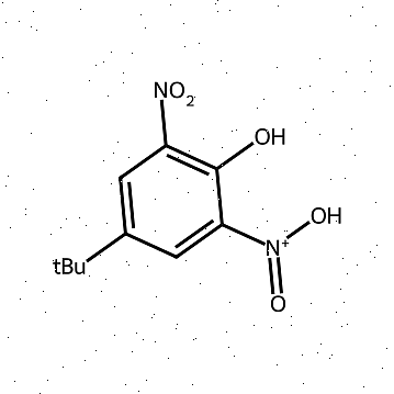 CC(C)(C)c1cc([N+](=O)[O-])c(O)c([N+](=O)O)c1